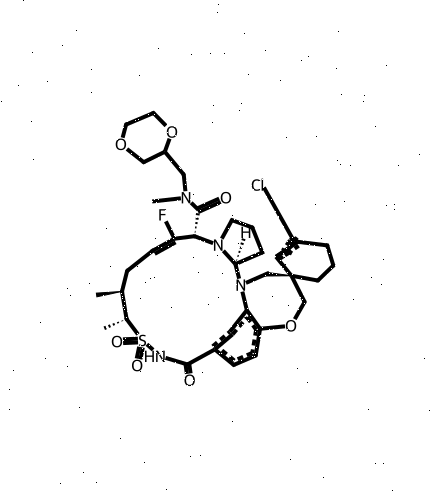 C[C@@H]1[C@@H](C)C/C=C(\F)[C@H](C(=O)N(C)CC2COCCO2)N2CCC[C@H]2N2C[C@@]3(CCCc4cc(Cl)ccc43)COc3ccc(cc32)C(=O)NS1(=O)=O